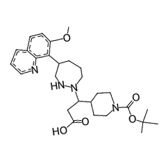 COc1ccc2cccnc2c1C1CCCN(C(CC(=O)O)C2CCN(C(=O)OC(C)(C)C)CC2)NC1